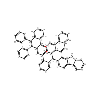 c1ccc(-c2c(-c3ccccc3)c3cc(-c4ccccc4N(c4ccc5c(c4)oc4ccccc45)c4cccc5c4ccc4ccccc45)ccc3c3ccccc23)cc1